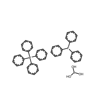 OB(O)O.c1ccc(P(c2ccccc2)c2ccccc2)cc1.c1ccc([B-](c2ccccc2)(c2ccccc2)c2ccccc2)cc1